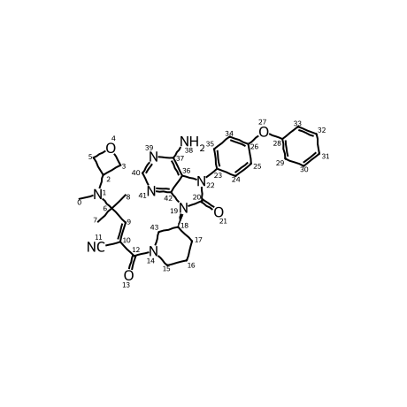 CN(C1COC1)C(C)(C)C=C(C#N)C(=O)N1CCC[C@H](n2c(=O)n(-c3ccc(Oc4ccccc4)cc3)c3c(N)ncnc32)C1